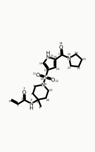 C=CC(=O)NC1(C)CCN(S(=O)(=O)c2c[nH]c(C(=O)N3CCCC3)c2)CC1